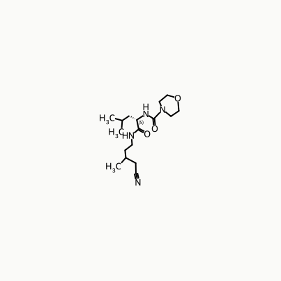 CC(C)C[C@H](NC(=O)N1CCOCC1)C(=O)NCCC(C)CC#N